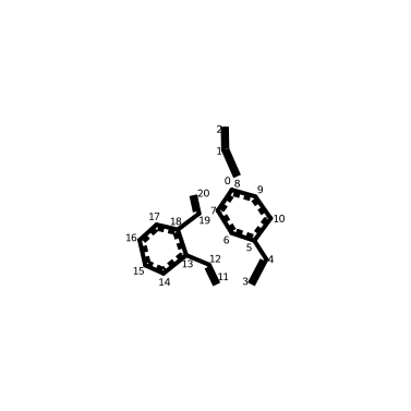 C=C=C.C=Cc1ccccc1.C=Cc1ccccc1C=C